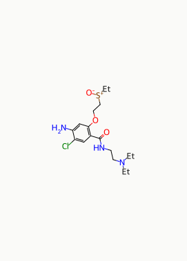 CCN(CC)CCNC(=O)c1cc(Cl)c(N)cc1OCC[S+]([O-])CC